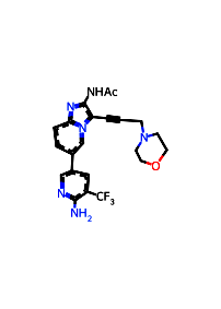 CC(=O)Nc1nc2ccc(-c3cnc(N)c(C(F)(F)F)c3)cn2c1C#CCN1CCOCC1